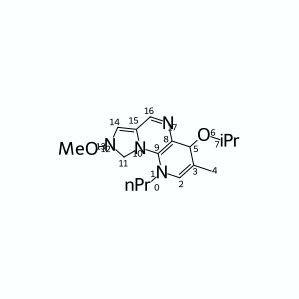 CCCN1C=C(C)C(OC(C)C)C2=C1N1CN(OC)C=C1C=N2